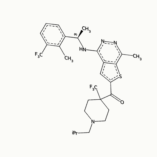 Cc1c([C@@H](C)Nc2nnc(C)c3sc(C(=O)C4(C(F)(F)F)CCN(CC(C)C)CC4)cc23)cccc1C(F)(F)F